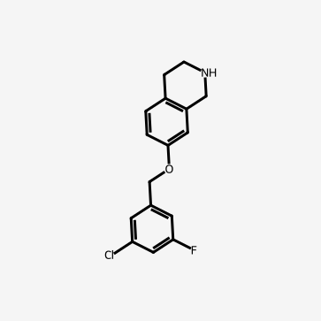 Fc1cc(Cl)cc(COc2ccc3c(c2)CNCC3)c1